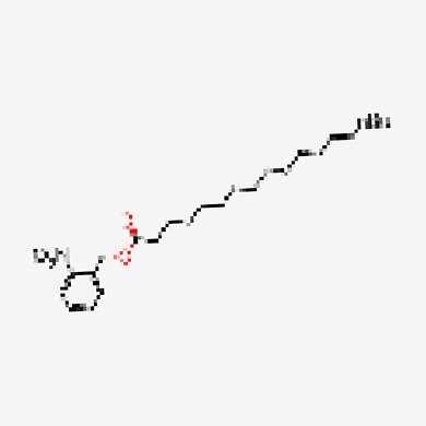 CCCCC=CC=CC=CCCCCCCCC(=O)OCc1ccccc1[N+](=O)[O-]